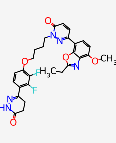 CCc1nc2c(OC)ccc(-c3ccc(=O)n(CCCCOc4ccc(C5=NNC(=O)CC5)c(F)c4F)n3)c2o1